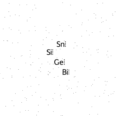 [Bi].[Ge].[Si].[Sn]